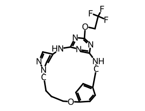 FC(F)(F)COc1nc2nc(n1)Nc1cnn(c1)CCCCOc1ccc(cc1)CN2